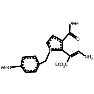 CCOC(=O)/C(=C\N)c1c(C(=O)OC)ccn1Cc1ccc(OC)cc1